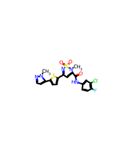 CN1C(C(=O)Nc2ccc(F)c(Cl)c2)=CC(c2ccc(-c3ccnn3C)s2)=NS1(=O)=O